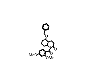 COc1ccc(C(=O)N2C(=O)CCC3C(OCc4ccccc4)CCCC32)c(OC)c1